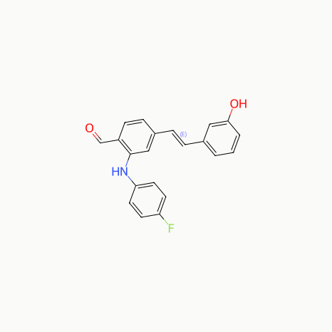 O=Cc1ccc(/C=C/c2cccc(O)c2)cc1Nc1ccc(F)cc1